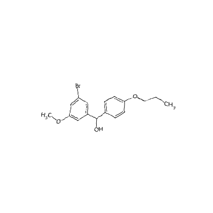 CCCOc1ccc(C(O)c2cc(Br)cc(OC)c2)cc1